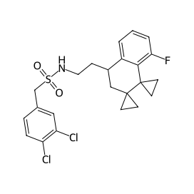 O=S(=O)(Cc1ccc(Cl)c(Cl)c1)NCCC1CC2(CC2)C2(CC2)c2c(F)cccc21